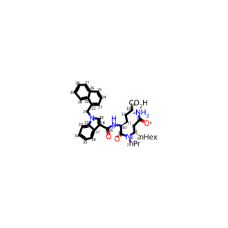 CCCCCC[C@@H](CC(N)=O)N(CCC)C(=O)[C@H](CCCC(=O)O)NC(=O)c1cn(Cc2cccc3ccccc23)c2ccccc12